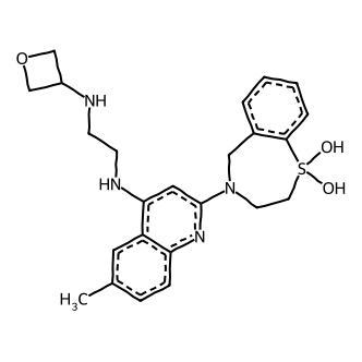 Cc1ccc2nc(N3CCS(O)(O)c4ccccc4C3)cc(NCCNC3COC3)c2c1